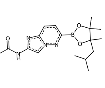 CC(=O)Nc1cn2nc(B3OC(C)(C)C(C)(CC(C)C)O3)ccc2n1